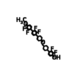 CCOc1ccc(-c2ccc(C3=CCC(OCC4CCC(c5ccc(O)c(F)c5F)CC4)CC3)c(F)c2F)c(F)c1F